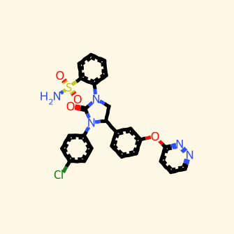 NS(=O)(=O)c1ccccc1N1CC(c2cccc(Oc3cccnn3)c2)N(c2ccc(Cl)cc2)C1=O